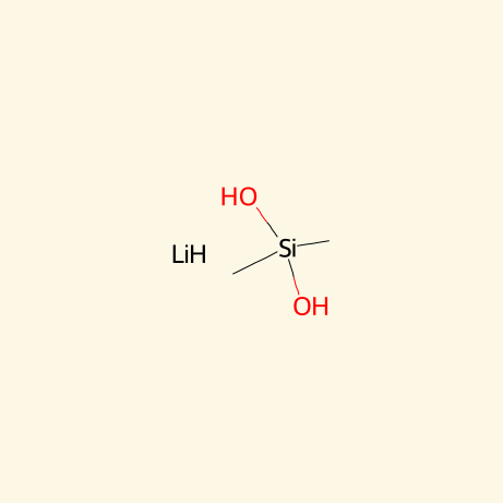 C[Si](C)(O)O.[LiH]